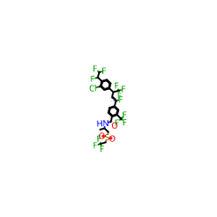 CC(CS(=O)(=O)CC(F)(F)F)NC(=O)c1ccc(/C(F)=C/C(c2ccc(C(F)C(F)F)c(Cl)c2)C(F)(F)F)cc1C(F)(F)F